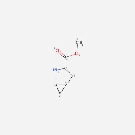 COC(=O)C1CC2CC2N1